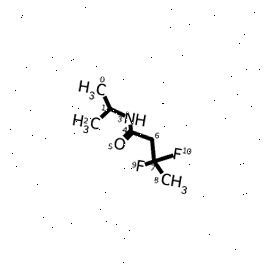 CC(C)NC(=O)CC(C)(F)F